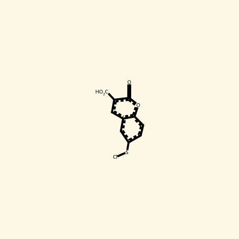 O=C(O)c1cc2cc(SCl)ccc2oc1=O